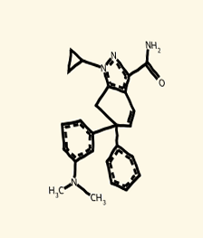 CN(C)c1cccc(C2(c3ccccc3)C=Cc3c(C(N)=O)nn(C4CC4)c3C2)c1